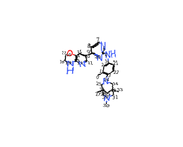 Cc1cc(Nc2nccc(-c3cnc4c(c3)OCCN4)n2)ccc1N1CC2(C)CN(C)CC(C)(C1)C2